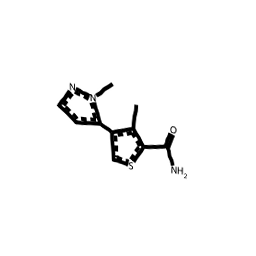 Cc1c(-c2ccnn2C)csc1C(N)=O